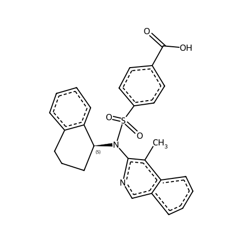 Cc1c(N([C@H]2CCCc3ccccc32)S(=O)(=O)c2ccc(C(=O)O)cc2)ncc2ccccc12